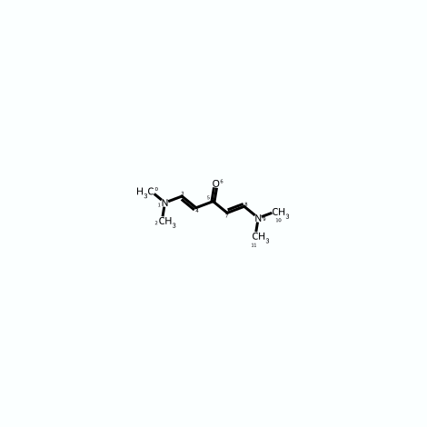 CN(C)/C=C/C(=O)/C=C/N(C)C